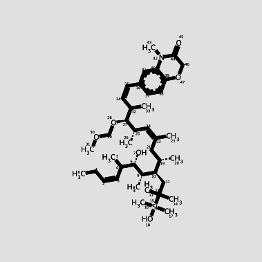 CC/C=C\C(C)[C@H](O)[C@@H](C)[C@H](CC(C)(C)[Si](C)(C)O)[C@@H](C)C/C(C)=C\[C@H](C)[C@@H](OCOC)C(C)/C=C\c1ccc2c(c1)N(C)C(=O)CO2